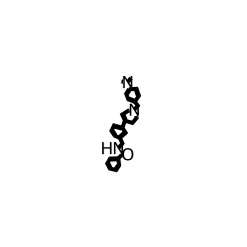 CN(C)c1ccc(CN2CC=C(c3cccc(CNC(=O)c4ccccc4)c3)CC2)cc1